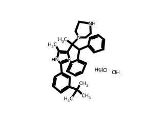 Cc1[nH]c(-c2cccc(C(C)(C)C)c2)nc1C(C)(C(c1ccccc1)c1ccccc1)N1CCNCC1.Cl.Cl.Cl